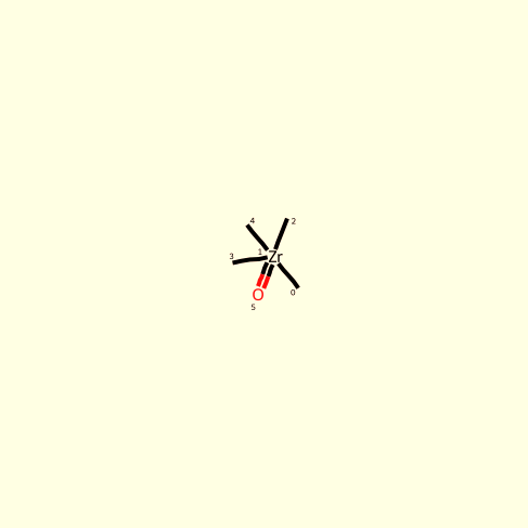 [CH3][Zr]([CH3])([CH3])([CH3])=[O]